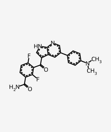 CN(C)c1ccc(-c2cnc3[nH]cc(C(=O)c4c(F)ccc(C(N)=O)c4F)c3c2)cc1